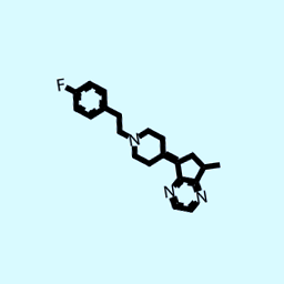 CC1CC(=C2CCN(CCc3ccc(F)cc3)CC2)c2nccnc21